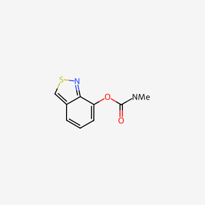 CNC(=O)Oc1cccc2csnc12